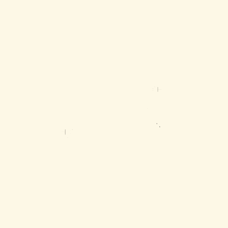 C=C/C=C\c1cc[nH]c1C